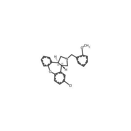 COc1ccccc1CN1C[C@@H]2c3ccccc3Oc3ccc(Cl)cc3[C@H]2C1